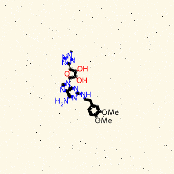 COc1ccc(CCNc2nc(N)c3ncn([C@@H]4O[C@H](c5nnn(C)n5)[C@@H](O)[C@H]4O)c3n2)cc1OC